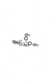 CC(C)(C)NC(=O)O[C@H]1CN[C@@H](C(c2ccc(C(C)(C)C)cc2)c2ccc(C(C)(C)C)cc2)C1